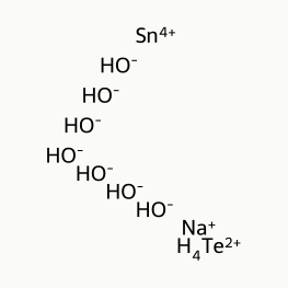 [Na+].[OH-].[OH-].[OH-].[OH-].[OH-].[OH-].[OH-].[Sn+4].[TeH4+2]